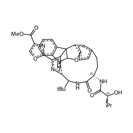 COC(=O)c1coc(-c2nc3oc2C24c5ccccc5NC2Oc2ccc(cc24)CC[C@H](NC(=O)[C@@H](O)C(C)C)C(=O)NC3C(C)(C)C)n1